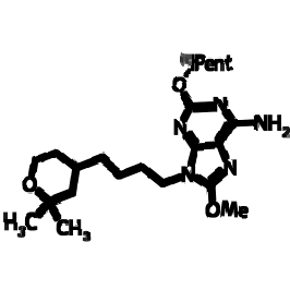 CCC[C@@H](C)Oc1nc(N)c2nc(OC)n(CCCCC3CCOC(C)(C)C3)c2n1